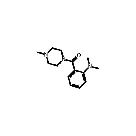 CN1CCN(C(=O)c2ccccc2N(C)C)CC1